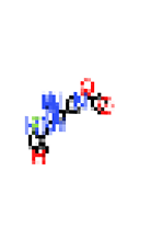 O=C(C1CCOCC1)N1CC=C(c2cnc(NCc3c(F)ccc4c3CCO4)n3cnnc23)CC1